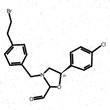 O=CC1O[C@H](c2ccc(Cl)cc2)CN1Cc1ccc(CCBr)cc1